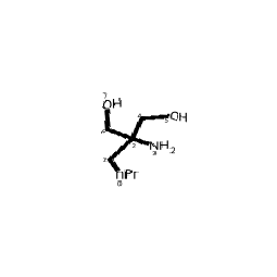 CCCCC(N)(CO)CO